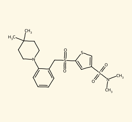 CN(C)S(=O)(=O)c1csc(S(=O)(=O)Cc2ccccc2N2CCC(C)(C)CC2)c1